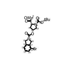 COC(=O)[C@@H]1C[C@@H](OC(=O)N2Cc3cccc(Br)c3C2)CN1C(=O)OC(C)(C)C